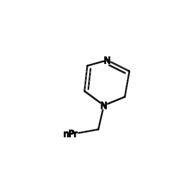 CCCCN1C=CN=CC1